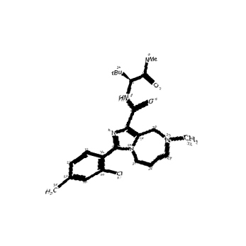 CNC(=O)[C@@H](NC(=O)c1nc(-c2ccc(C)cc2Cl)n2c1CN(C)CCC2)C(C)(C)C